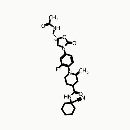 C=C1CC(C(=O)NC2(C#N)CCCCC2)CCN1c1ccc(N2C[C@H](CNC(C)=O)OC2=O)cc1F